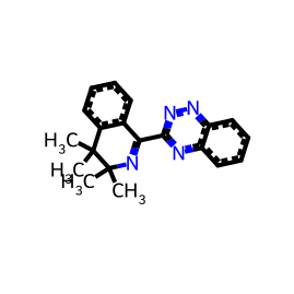 CC1(C)N=C(c2nnc3ccccc3n2)c2ccccc2C1(C)C